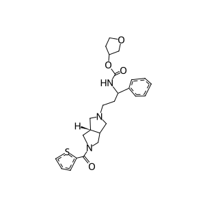 O=C(NC(CCN1CC2CN(C(=O)c3cccs3)C[C@@H]2C1)c1ccccc1)OC1CCOC1